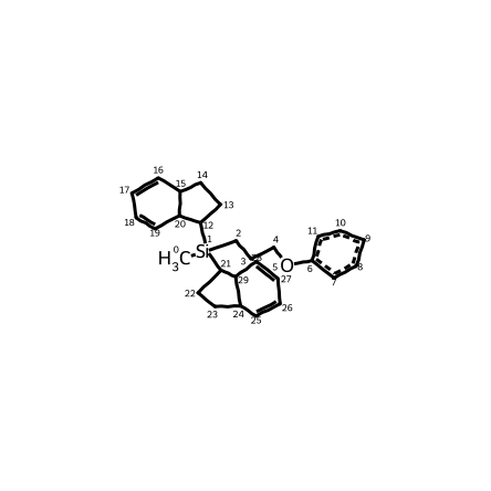 C[Si](CCCOc1ccccc1)(C1CCC2C=CC=CC21)C1CCC2C=CC=CC21